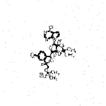 CC1(C)O[C@@H]2[C@H](O1)[C@@H](C(=O)c1ccc(Cl)cc1C(F)(F)CO[Si](C)(C)C(C)(C)C)O[C@H]2n1ccc2c(Cl)ncnc21